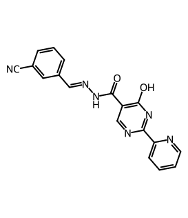 N#Cc1cccc(/C=N/NC(=O)c2cnc(-c3ccccn3)nc2O)c1